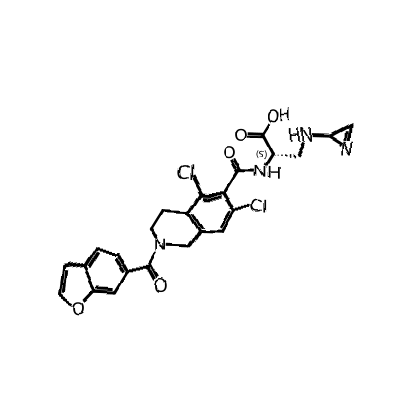 O=C(N[C@@H](CNC1C=N1)C(=O)O)c1c(Cl)cc2c(c1Cl)CCN(C(=O)c1ccc3ccoc3c1)C2